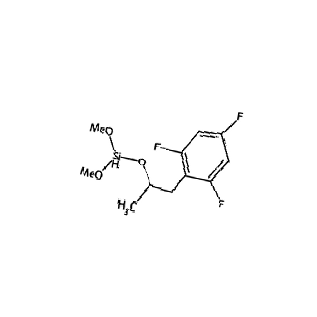 CO[SiH](OC)OC(C)Cc1c(F)cc(F)cc1F